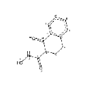 O=C(NO)C1CCc2ccccc2C1=O